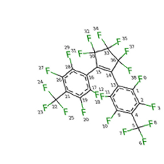 Fc1c(F)c(C(F)(F)F)c(F)c(F)c1C1=C(c2c(F)c(F)c(C(F)(F)F)c(F)c2F)C(F)(F)C(F)(F)C1(F)F